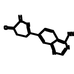 CNc1ncnc2cc(C3=NNC(=O)CC3)ccc12